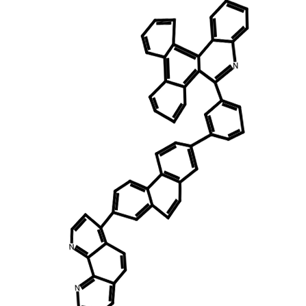 c1cc(-c2ccc3c(ccc4cc(-c5ccnc6c5ccc5cccnc56)ccc43)c2)cc(-c2nc3ccccc3c3c4ccccc4c4ccccc4c23)c1